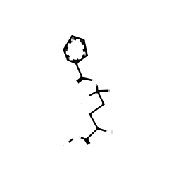 CCOC(=O)C(CCC(N)C(=O)OC(C)(C)C)(OC(=O)c1ccccc1)C(=O)OCC